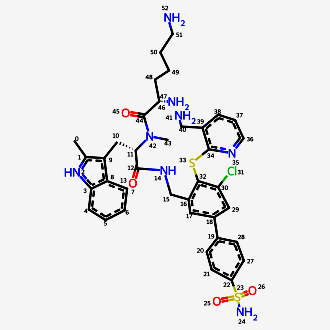 Cc1[nH]c2ccccc2c1C[C@@H](C(=O)NCc1cc(-c2ccc(S(N)(=O)=O)cc2)cc(Cl)c1Sc1ncccc1CN)N(C)C(=O)[C@@H](N)CCCCN